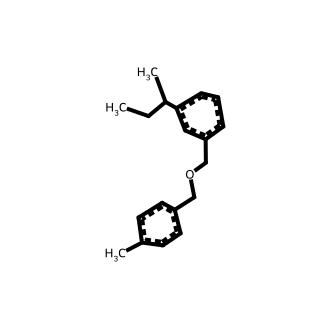 CCC(C)c1cccc(COCc2ccc(C)cc2)c1